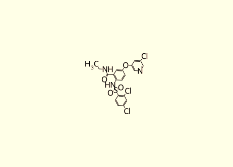 CCNC(=O)c1cc(Oc2cncc(Cl)c2)ccc1NS(=O)(=O)c1ccc(Cl)cc1Cl